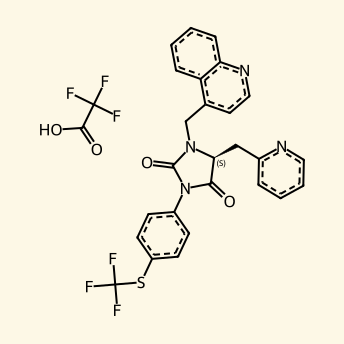 O=C(O)C(F)(F)F.O=C1[C@H](Cc2ccccn2)N(Cc2ccnc3ccccc23)C(=O)N1c1ccc(SC(F)(F)F)cc1